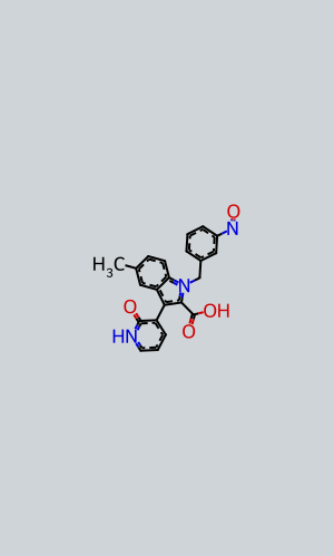 Cc1ccc2c(c1)c(-c1ccc[nH]c1=O)c(C(=O)O)n2Cc1cccc(N=O)c1